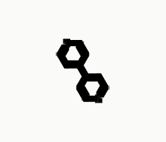 [c]1cc(-c2c[c]n[c]c2)c[c]n1